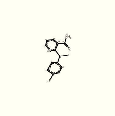 C[C@@H](c1ccc(F)cc1)c1ncccc1C(N)=O